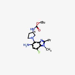 CC(C)c1nc2c(N3CC[C@@H](NC(=O)OC(C)(C)C)C3)c(N)cc(F)c2n1C